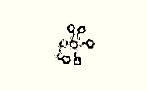 C[C@@H](Cc1ccccc1)NC[C@H](C=O)OC(=O)[C@H]1O[C@@H](OCc2ccccc2)[C@H](OCc2ccccc2)[C@@H](OCc2ccccc2)[C@@H]1OCc1ccccc1